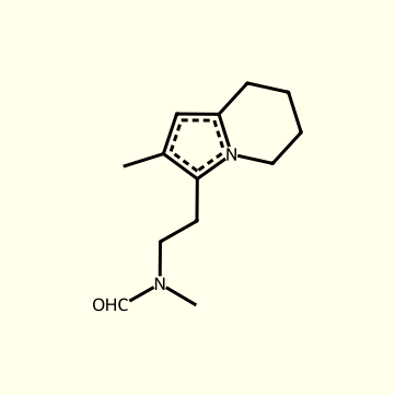 Cc1cc2n(c1CCN(C)C=O)CCCC2